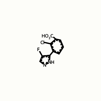 O=C(O)c1cccc(-c2[nH]ncc2F)c1Cl